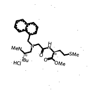 CCC(C)[C@@H](CN(CC(=O)N[C@@H](CCSC)C(=O)OC)Cc1cccc2ccccc12)NC.Cl